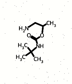 CC(CN)OC(=O)NC(C)(C)C